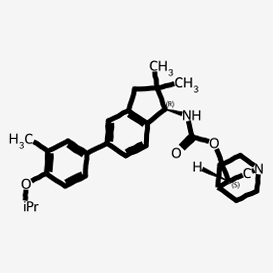 Cc1cc(-c2ccc3c(c2)CC(C)(C)[C@H]3NC(=O)O[C@@H]2CN3CCC2CC3)ccc1OC(C)C